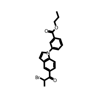 CCCOC(=O)c1cccc(-n2ccc3cc(C(=O)C(C)Br)ccc32)c1